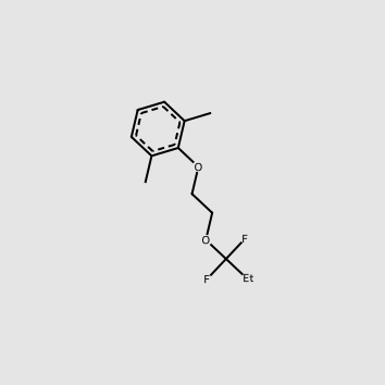 CCC(F)(F)OCCOc1c(C)cccc1C